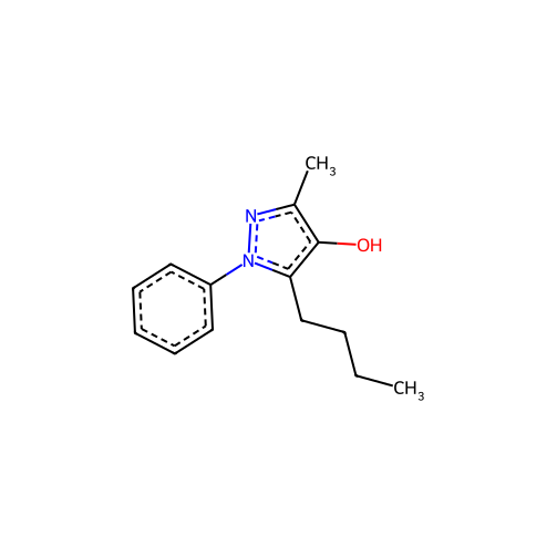 CCCCc1c(O)c(C)nn1-c1ccccc1